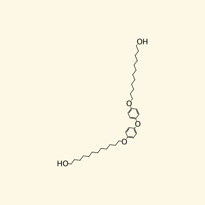 OCCCCCCCCCCCCOc1ccc(Oc2ccc(OCCCCCCCCCCCCO)cc2)cc1